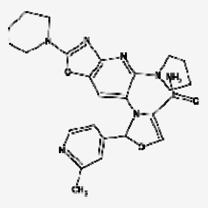 Cc1cc(C2OC=C(C(N)=O)N2c2cc3oc(N4CCCCC4)nc3nc2N2CCCC2)ccn1